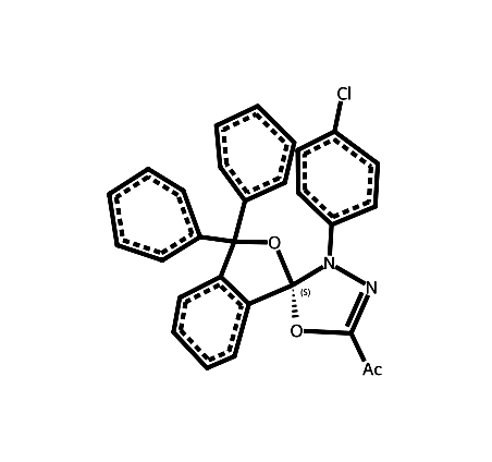 CC(=O)C1=NN(c2ccc(Cl)cc2)[C@]2(O1)OC(c1ccccc1)(c1ccccc1)c1ccccc12